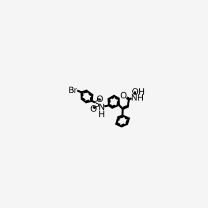 O=C(C=C(c1ccccc1)c1cccc(NS(=O)(=O)c2ccc(Br)cc2)c1)NO